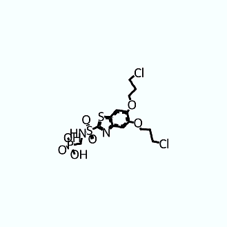 O=P(O)(O)CNS(=O)(=O)c1nc2cc(OCCCCl)c(OCCCCl)cc2s1